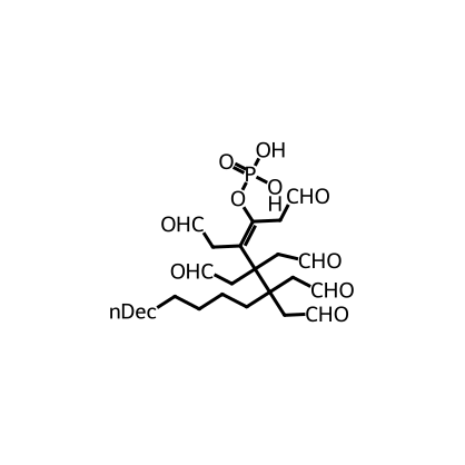 CCCCCCCCCCCCCCC(CC=O)(CC=O)C(CC=O)(CC=O)C(CC=O)=C(CC=O)OP(=O)(O)O